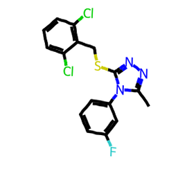 Cc1nnc(SCc2c(Cl)cccc2Cl)n1-c1cccc(F)c1